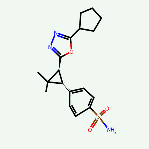 CC1(C)[C@@H](c2ccc(S(N)(=O)=O)cc2)[C@@H]1c1nnc(C2CCCC2)o1